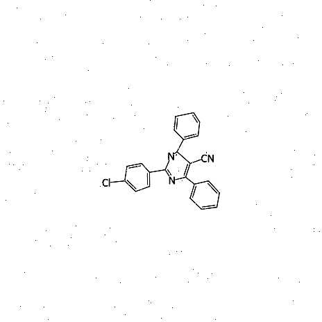 N#Cc1c(-c2ccccc2)nc(-c2ccc(Cl)cc2)nc1-c1ccccc1